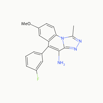 COc1ccc2c(c1)c(-c1cccc(F)c1)c(N)c1nnc(C)n12